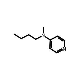 CCCCN(C)c1ccncc1